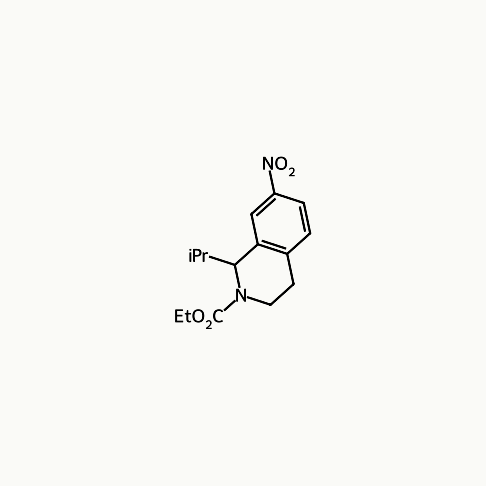 CCOC(=O)N1CCc2ccc([N+](=O)[O-])cc2C1C(C)C